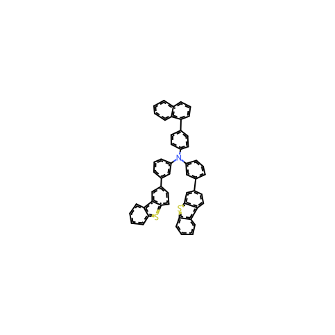 c1cc(-c2ccc3c(c2)sc2ccccc23)cc(N(c2ccc(-c3cccc4ccccc34)cc2)c2cccc(-c3ccc4sc5ccccc5c4c3)c2)c1